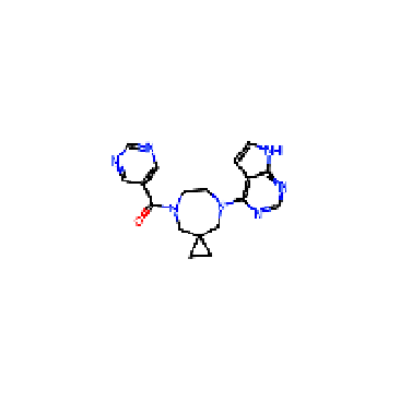 O=C(c1cncnc1)N1CCN(c2ncnc3[nH]ccc23)CC2(CC2)C1